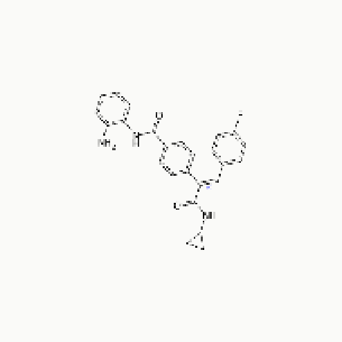 Nc1ccccc1NC(=O)c1ccc(/C(=C\c2ccc(F)cc2)C(=O)NC2CC2)cc1